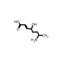 CC(N)CCC(O)C=CC(=O)O